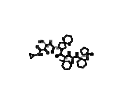 CCC[C@H](NC(=O)[C@@H]1CC2(CN1C(=O)[C@@H](NC(=O)NC1([C@@H]3CCCS3(=O)=O)CCCCC1)C1(C)CCCCC1)SCCCS2)C(=O)C(=O)NC1CC1